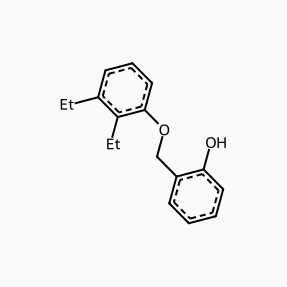 CCc1cccc(OCc2ccccc2O)c1CC